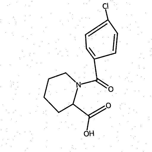 O=C(O)C1CCCCN1C(=O)c1ccc(Cl)cc1